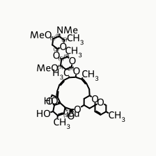 CC[C@H](C)C12C=C(C)C(O)C3OCC(=CC=CC(C)C(O[C@H]4C[C@H](OC)[C@@H](O[C@H]5C[C@H](OC)[C@@H](NC)[C@H](C)O5)[C@H](C)O4)C(C)=CCC4CC(CC5(C=CC(C)CO5)O4)OC1=O)C32O